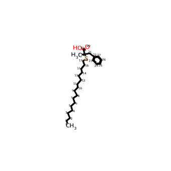 CCCCCCCCCCCCCCCCCCSC(C)(Cc1ccccc1)C(=O)O